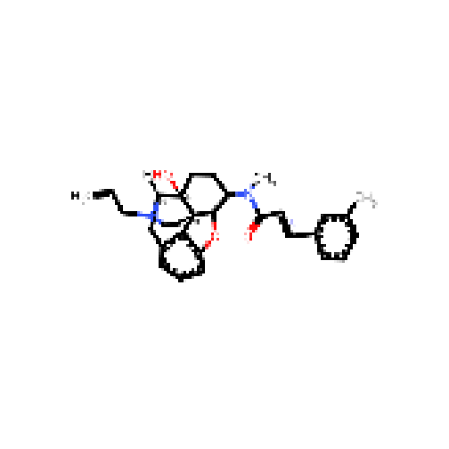 C=CCN1CC[C@]23c4c5cccc4OC2C(N(C)C(=O)/C=C/c2cccc(C)c2)CC[C@@]3(O)[C@H]1C5